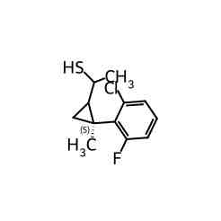 CC(S)C1C[C@]1(C)c1c(F)cccc1Cl